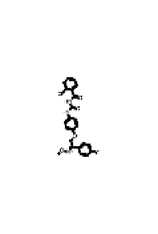 CO/N=C(\COc1ccc(NC(=O)NC(=O)c2ccccc2Cl)cc1)c1ccc(Cl)cc1